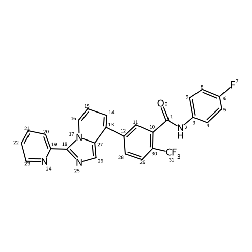 O=C(Nc1ccc(F)cc1)c1cc(-c2cccn3c(-c4ccccn4)ncc23)ccc1C(F)(F)F